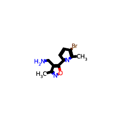 Cc1nc(-c2onc(C)c2CN)ccc1Br